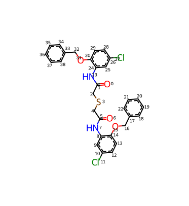 O=C(CSCC(=O)Nc1cc(Cl)ccc1OCc1ccccc1)Nc1cc(Cl)ccc1OCc1ccccc1